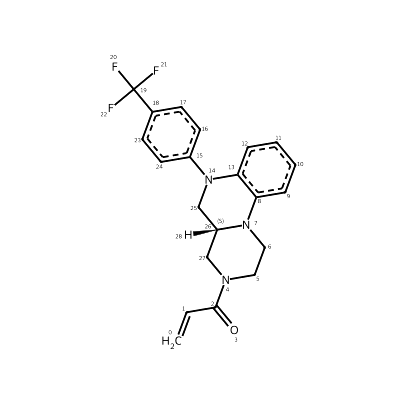 C=CC(=O)N1CCN2c3ccccc3N(c3ccc(C(F)(F)F)cc3)C[C@H]2C1